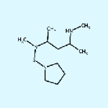 CNC(C)CC(C)N(C)SN1CCCC1